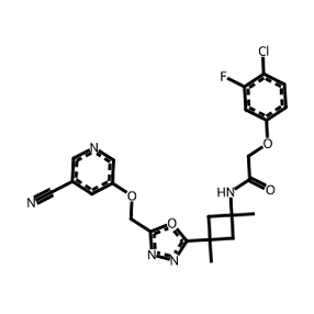 CC1(NC(=O)COc2ccc(Cl)c(F)c2)CC(C)(c2nnc(COc3cncc(C#N)c3)o2)C1